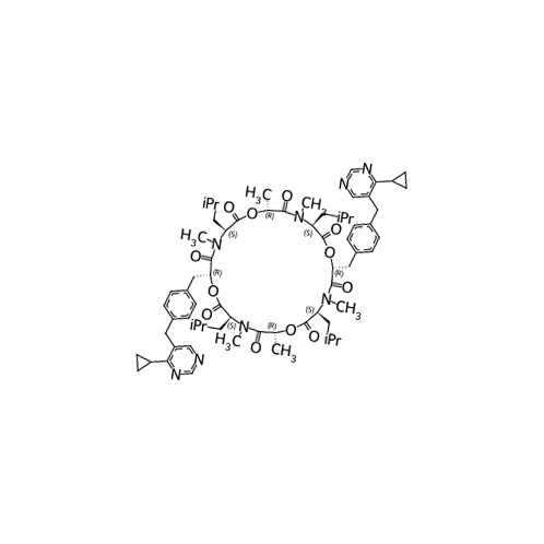 CC(C)C[C@H]1C(=O)O[C@H](Cc2ccc(Cc3cncnc3C3CC3)cc2)C(=O)N(C)[C@@H](CC(C)C)C(=O)O[C@H](C)C(=O)N(C)[C@@H](CC(C)C)C(=O)O[C@H](Cc2ccc(Cc3cncnc3C3CC3)cc2)C(=O)N(C)[C@@H](CC(C)C)C(=O)O[C@H](C)C(=O)N1C